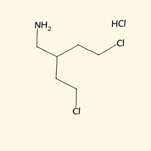 Cl.NCC(CCCl)CCCl